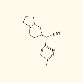 Cc1ccc(C(C#N)N2CCN3CCCC3C2)nc1